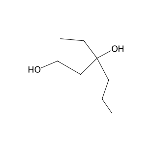 CCCC(O)(CC)CCO